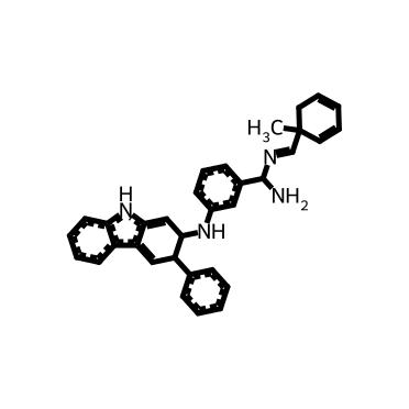 CC1(/C=N/C(N)c2cccc(NC3C=c4[nH]c5ccccc5c4=CC3c3ccccc3)c2)C=CC=CC1